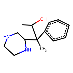 CC(O)C(c1ccccc1)(C1CNCCN1)C(F)(F)F